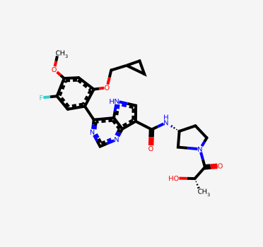 COc1cc(OCC2CC2)c(-c2ncnc3c(C(=O)N[C@@H]4CCN(C(=O)[C@H](C)O)C4)c[nH]c23)cc1F